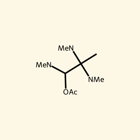 CNC(OC(C)=O)C(C)(NC)NC